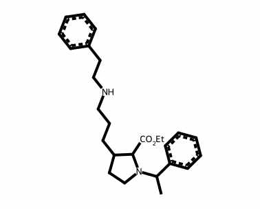 CCOC(=O)C1C(CCCNCCc2ccccc2)CCN1C(C)c1ccccc1